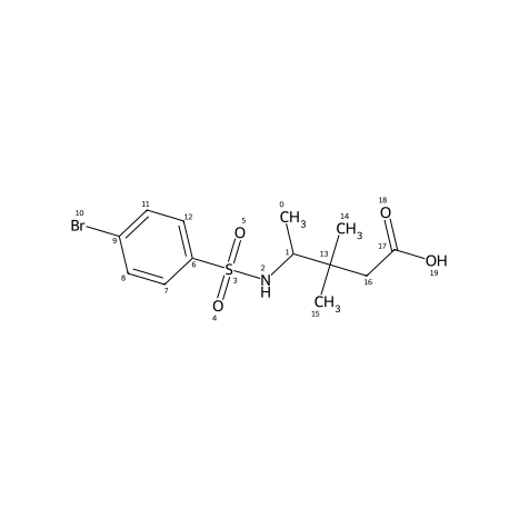 CC(NS(=O)(=O)c1ccc(Br)cc1)C(C)(C)CC(=O)O